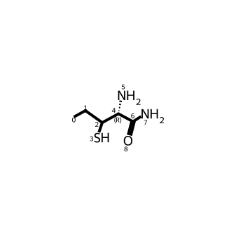 CCC(S)[C@H](N)C(N)=O